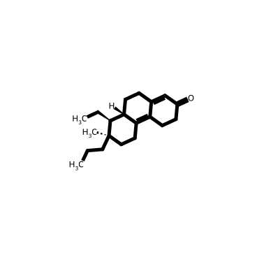 CCC[C@]1(C)CCC2=C3CCC(=O)C=C3CC[C@H]2[C@@H]1CC